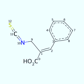 O=C(O)C(=Cc1ccccc1)CN=C=S